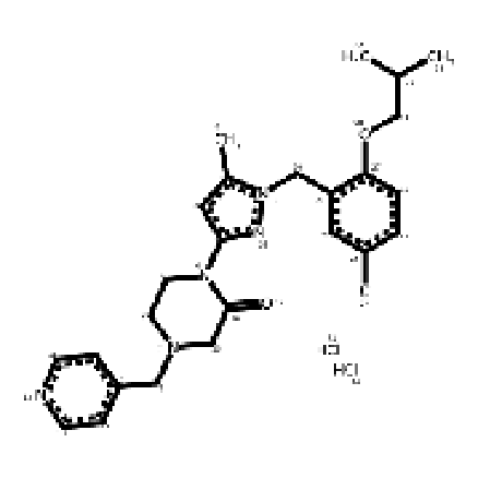 Cc1cc(N2CCN(Cc3ccncc3)CC2=O)nn1Cc1cc(Cl)ccc1OCC(C)C.Cl.Cl